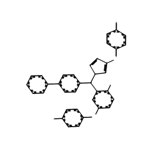 Oc1ccc(SC2=CC(C(c3ccc(-c4ccccc4)cc3)c3cc(Sc4ccc(O)cc4)ccc3O)C=C2)cc1